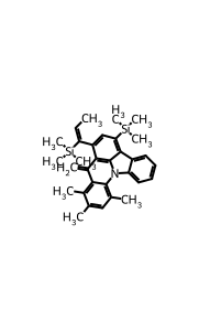 C=c1c2c(C)c(C)cc(C)c2n2c3ccccc3c3c([Si](C)(C)C)cc(/C(=C\C)[Si](C)(C)C)c1c32